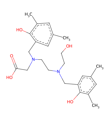 Cc1cc(C)c(O)c(CN(CCO)CCN(CC(=O)O)Cc2cc(C)cc(C)c2O)c1